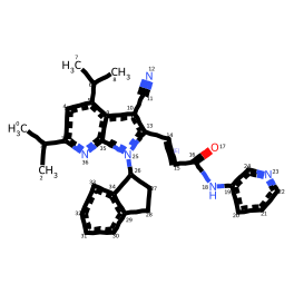 CC(C)c1cc(C(C)C)c2c(C#N)c(/C=C/C(=O)Nc3cccnc3)n(C3CCc4ccccc43)c2n1